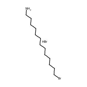 Br.NCCCCCCCCCCCCCBr